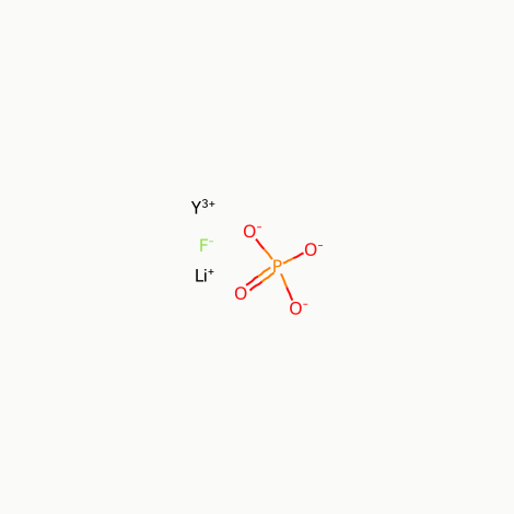 O=P([O-])([O-])[O-].[F-].[Li+].[Y+3]